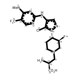 CNc1nc(Nc2cnn([C@H]3CCN(C[C@H](N)C(=O)O)C[C@@H]3F)c2Cl)ncc1C(F)(F)F